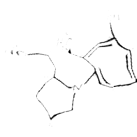 Cc1c(O)cccc1N1CCCC1CO